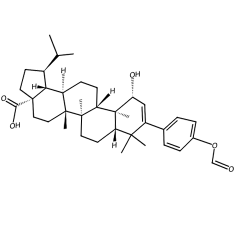 CC(C)[C@@H]1CC[C@]2(C(=O)O)CC[C@]3(C)[C@H](CC[C@@H]4[C@@]5(C)[C@H](O)C=C(c6ccc(OC=O)cc6)C(C)(C)[C@@H]5CC[C@]43C)[C@@H]12